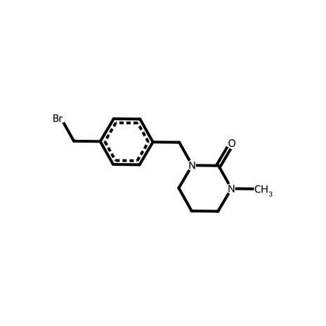 CN1CCCN(Cc2ccc(CBr)cc2)C1=O